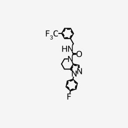 O=C(NCc1cccc(C(F)(F)F)c1)N1CCCc2c1cnn2-c1ccc(F)cc1